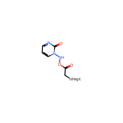 CCCCCCCCC(=O)ONn1cccnc1=O